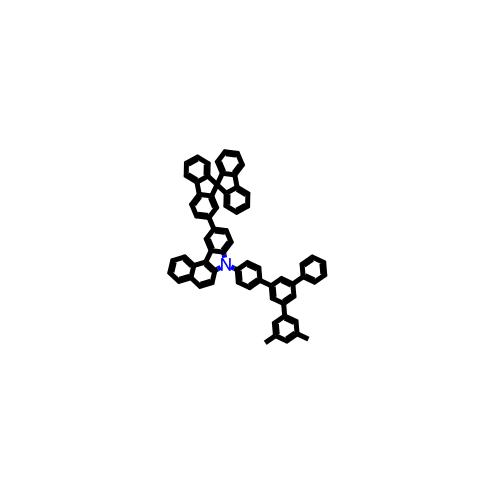 Cc1cc(C)cc(-c2cc(-c3ccccc3)cc(-c3ccc(-n4c5ccc(-c6ccc7c(c6)C6(c8ccccc8-c8ccccc86)c6ccccc6-7)cc5c5c6ccccc6ccc54)cc3)c2)c1